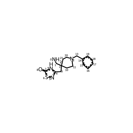 NCC1(Cc2nsc(=O)[nH]2)CCN(Cc2ccccc2)CC1